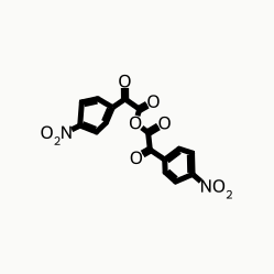 O=C(OC(=O)C(=O)c1ccc([N+](=O)[O-])cc1)C(=O)c1ccc([N+](=O)[O-])cc1